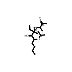 CCCCC(OC(C)C)C(=O)C(C)(CC)NC(C)C(C)=O